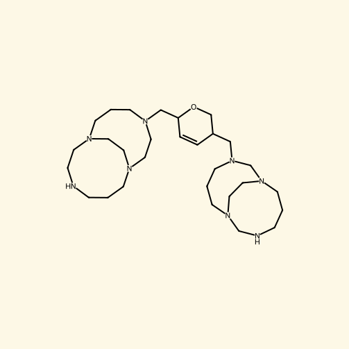 C1=CC(CN2CCCN3CCNCCCN(CC3)CC2)OCC1CN1CCCN2CCN(CCCNC2)C1